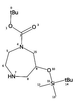 CC(C)(C)OC(=O)N1CCNCC(O[Si](C)(C)C(C)(C)C)C1